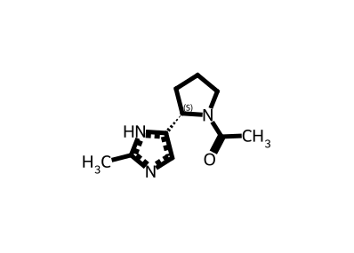 CC(=O)N1CCC[C@H]1c1cnc(C)[nH]1